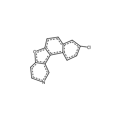 Clc1ccc2c(ccc3oc4ccncc4c32)c1